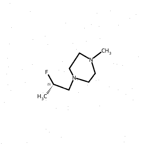 C[C@H](F)CN1CCN(C)CC1